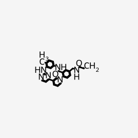 C=CC(=O)NCc1cccc(C(=O)Nc2ccc(C)c(Nc3nccc(-c4cccnc4)n3)c2)c1